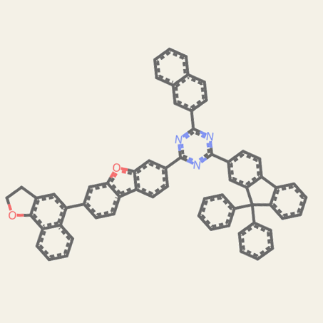 c1ccc(C2(c3ccccc3)c3ccccc3-c3ccc(-c4nc(-c5ccc6ccccc6c5)nc(-c5ccc6c(c5)oc5cc(-c7cc8c(c9ccccc79)OCC8)ccc56)n4)cc32)cc1